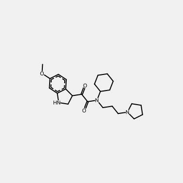 COc1ccc2c(c1)NCC2C(=O)C(=O)N(CCCN1CCCC1)C1CCCCC1